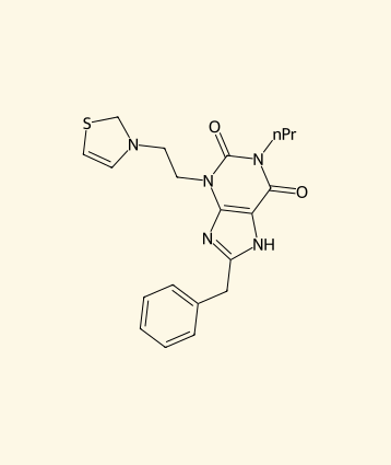 CCCn1c(=O)c2[nH]c(Cc3ccccc3)nc2n(CCN2C=CSC2)c1=O